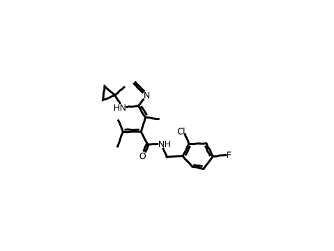 C=N/C(NC1(C)CC1)=C(\C)C(C(=O)NCc1ccc(F)cc1Cl)=C(C)C